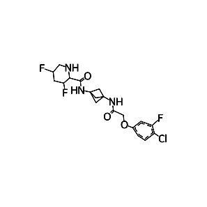 O=C(COc1ccc(Cl)c(F)c1)NC12CC(NC(=O)C3NCC(F)CC3F)(C1)C2